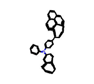 c1ccc(N(c2ccc(-c3ccc4ccc5cccc6ccc3c4c56)cc2)c2ccc3ccccc3c2)cc1